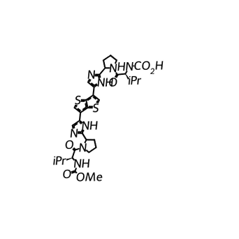 COC(=O)N[C@H](C(=O)N1CCCC1c1ncc(-c2csc3c(-c4cnc(C5CCCN5C(=O)[C@@H](NC(=O)O)C(C)C)[nH]4)csc23)[nH]1)C(C)C